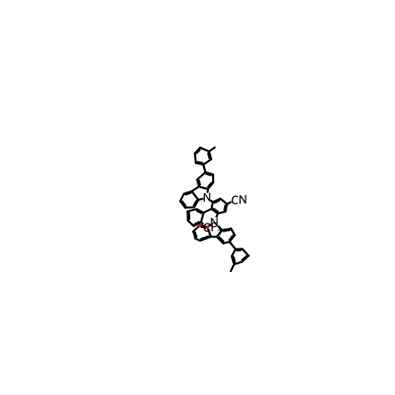 Cc1cccc(-c2ccc3c(c2)c2ccccc2n3-c2cc(C#N)cc(-n3c4ccccc4c4cc(-c5cccc(C)c5)ccc43)c2-c2ccccc2C(F)(F)F)c1